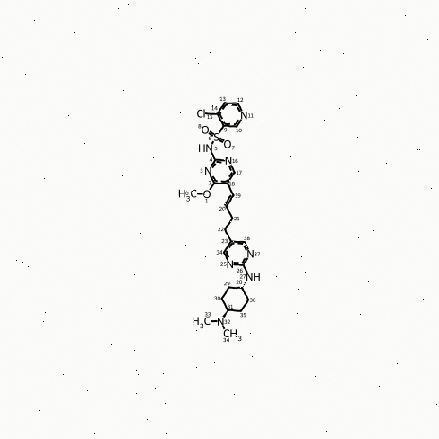 COc1nc(NS(=O)(=O)c2cnccc2Cl)ncc1/C=C/CCc1cnc(N[C@H]2CC[C@H](N(C)C)CC2)nc1